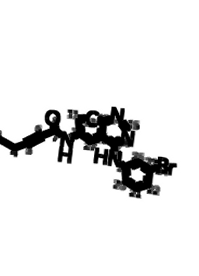 CN(C)CCC#CC(=O)Nc1ccc2ncnc(Nc3cccc(Br)c3)c2c1